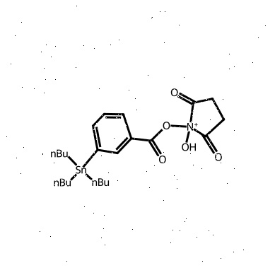 CCC[CH2][Sn]([CH2]CCC)([CH2]CCC)[c]1cccc(C(=O)O[N+]2(O)C(=O)CCC2=O)c1